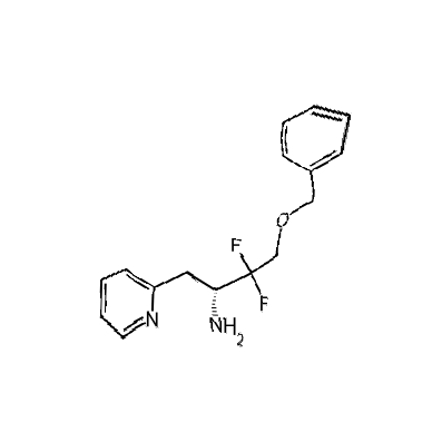 N[C@H](Cc1ccccn1)C(F)(F)COCc1ccccc1